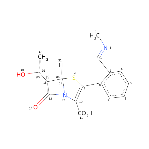 CN=Cc1ccccc1C1=C(C(=O)O)N2C(=O)[C@H]([C@@H](C)O)[C@H]2S1